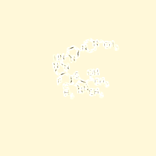 CCN1CCN(c2ccc(Nc3ncc(F)c(-c4sc5c(C(C)O)n(C)nc5c4C)n3)nc2)CC1